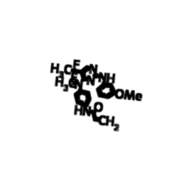 C=CC(=O)Nc1ccc(N(C)c2nc(Nc3cccc(OC)c3)ncc2C(C)(F)F)cc1